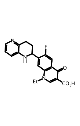 CCn1cc(C(=O)O)c(=O)c2cc(F)c(C3CCc4ncccc4N3)cc21